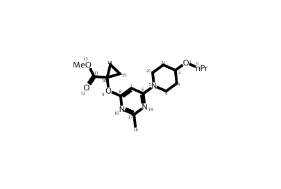 CCCOC1CCN(c2cc(OC3(C(=O)OC)CC3)nc(C)n2)CC1